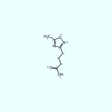 Cc1nc(CCCC(=O)O)no1